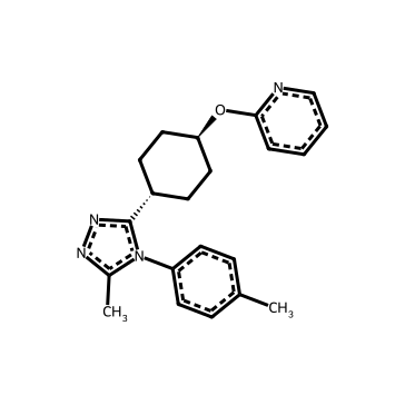 Cc1ccc(-n2c(C)nnc2[C@H]2CC[C@H](Oc3ccccn3)CC2)cc1